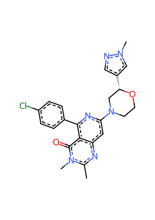 Cc1nc2cc(N3CCO[C@@H](c4cnn(C)c4)C3)nc(-c3ccc(Cl)cc3)c2c(=O)n1C